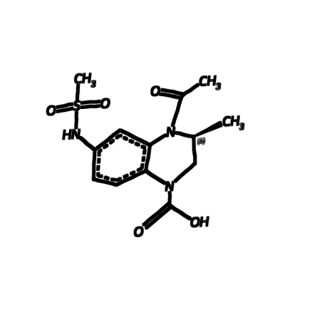 CC(=O)N1c2cc(NS(C)(=O)=O)ccc2N(C(=O)O)C[C@@H]1C